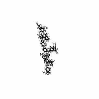 COc1ccc(CN2CCN(C3CC4(CCN(c5ccc(C(=O)NS(=O)(=O)c6cnc(NCC7CCC(C)(O)CC7)c([N+](=O)[O-])c6)c(Oc6cnc7[nH]cc(F)c7c6)c5)CC4)C3)[C@H](c3ccccc3C(C)C)C2)c2cc(C)oc12